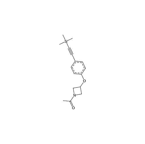 CC(=O)N1CC(Oc2ccc(C#C[Si](C)(C)C)cc2)C1